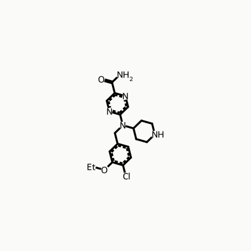 CCOc1cc(CN(c2cnc(C(N)=O)cn2)C2CCNCC2)ccc1Cl